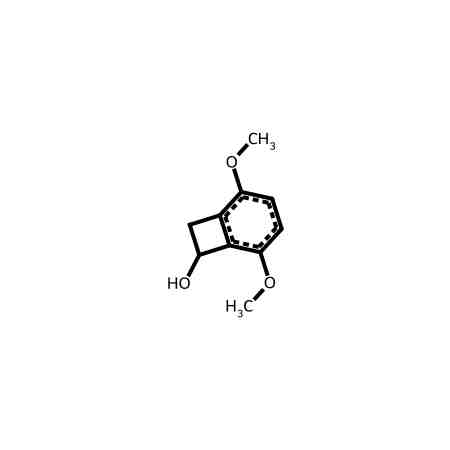 COc1ccc(OC)c2c1CC2O